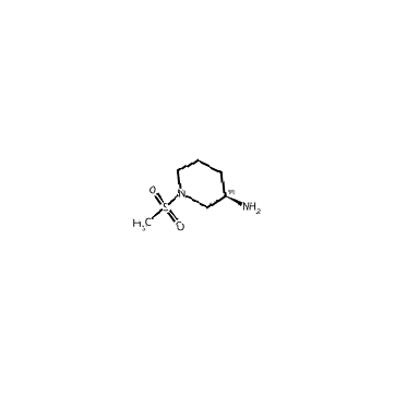 CS(=O)(=O)N1CCC[C@@H](N)C1